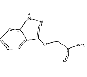 NC(=O)COc1n[nH]c2ccccc12